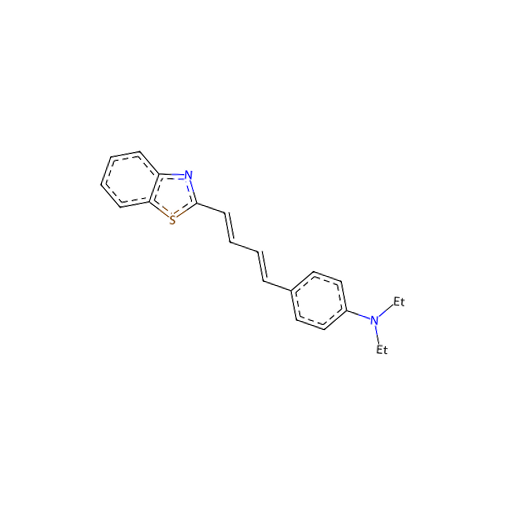 CCN(CC)c1ccc(C=CC=Cc2nc3ccccc3s2)cc1